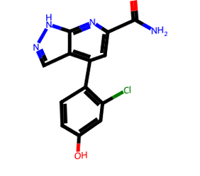 NC(=O)c1cc(-c2ccc(O)cc2Cl)c2cn[nH]c2n1